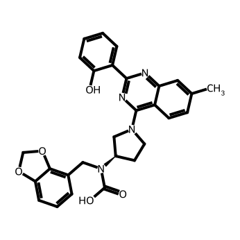 Cc1ccc2c(N3CC[C@@H](N(Cc4cccc5c4OCO5)C(=O)O)C3)nc(-c3ccccc3O)nc2c1